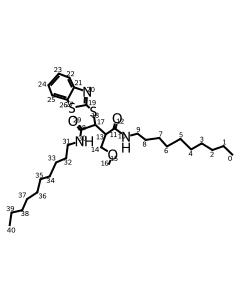 CCCCCCCCCCNC(=O)C(COC)C(Sc1nc2ccccc2s1)C(=O)NCCCCCCCCCC